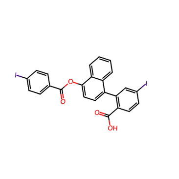 O=C(Oc1ccc(-c2cc(I)ccc2C(=O)O)c2ccccc12)c1ccc(I)cc1